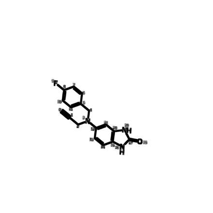 C#CCN(Cc1ccc(F)cc1)c1ccc2[nH]c(=O)[nH]c2c1